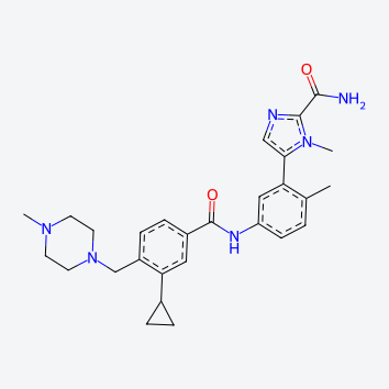 Cc1ccc(NC(=O)c2ccc(CN3CCN(C)CC3)c(C3CC3)c2)cc1-c1cnc(C(N)=O)n1C